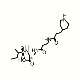 CCC(C)S(=O)(=O)N[C@H](CNC(=O)CCNC(=O)CCC1CCNCC1)C(=O)O